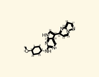 CO[C@H]1CC[C@H](Nc2ncc3c(-c4ccn5nccc5n4)c[nH]c3n2)CC1